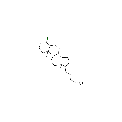 CC12CCC3C(CCC4C(F)CCCC43C)C1CCC2CCCC(=O)O